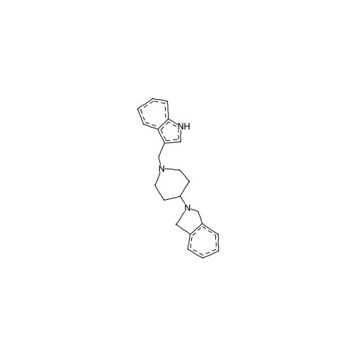 c1ccc2c(c1)CN(C1CCN(Cc3c[nH]c4ccccc34)CC1)C2